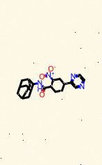 O=C(NC1C2CC3CC(C2)CC1C3)C1CCC(c2cnccn2)CC1[N+](=O)[O-]